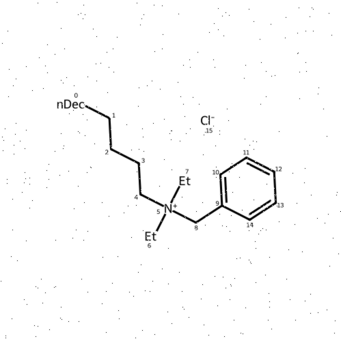 CCCCCCCCCCCCCC[N+](CC)(CC)Cc1ccccc1.[Cl-]